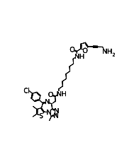 Cc1sc2c(c1C)C(c1ccc(Cl)cc1)=N[C@@H](CC(=O)NCCCCCCCCCNC(=O)c1ccc(C#CCN)o1)c1nnc(C)n1-2